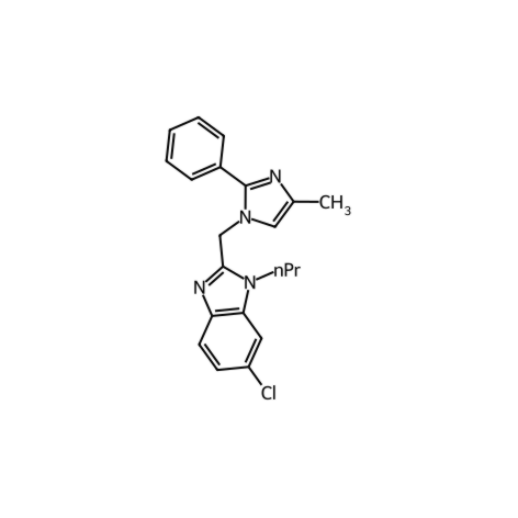 CCCn1c(Cn2cc(C)nc2-c2ccccc2)nc2ccc(Cl)cc21